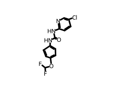 O=C(Nc1ccc(OC(F)F)cc1)Nc1ccc(Cl)cn1